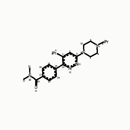 CC(C)c1cc(N2CCN(C(C)C)CC2)nnc1-c1ccc(C(=O)N(C)C)cc1